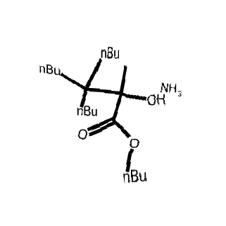 CCCCOC(=O)C(C)(O)C(CCCC)(CCCC)CCCC.N